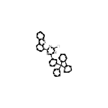 Clc1nc(-c2cccc(C3(c4ccccc4)c4ccccc4-c4ccccc43)c2)nc(-c2cccc3c2sc2ccccc23)n1